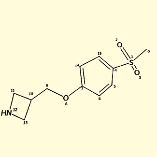 CS(=O)(=O)c1ccc(OCC2CNC2)cc1